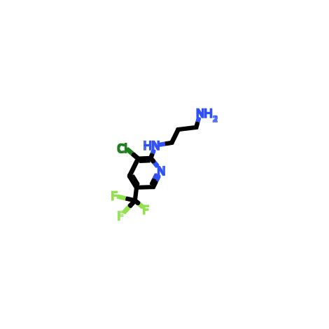 NCCCNc1ncc(C(F)(F)F)cc1Cl